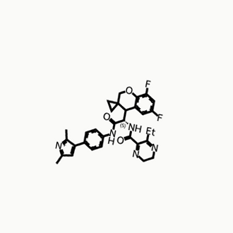 CCC1=NCCN=C1C(=O)N[C@H](C(=O)Nc1ccc(C2=CC(C)=[N+]=C2C)cc1)C1c2cc(F)cc(F)c2OCC12CC2